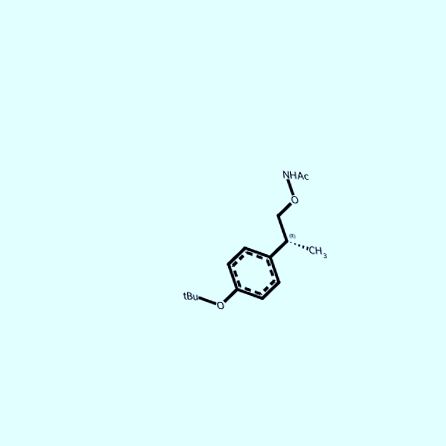 CC(=O)NOC[C@H](C)c1ccc(OC(C)(C)C)cc1